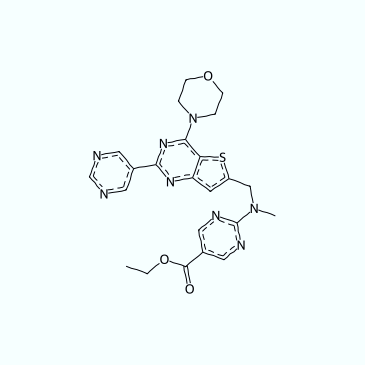 CCOC(=O)c1cnc(N(C)Cc2cc3nc(-c4cncnc4)nc(N4CCOCC4)c3s2)nc1